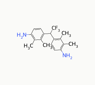 Cc1c(N)ccc(C(c2ccc(N)c(C)c2C)C(F)(F)F)c1C